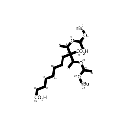 CCCCOC(C)OC(C)C(CCCCCCCC(=O)O)(C(=O)O)C(C)OC(C)OCCCC